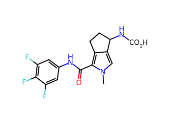 Cn1cc2c(c1C(=O)Nc1cc(F)c(F)c(F)c1)CCC2NC(=O)O